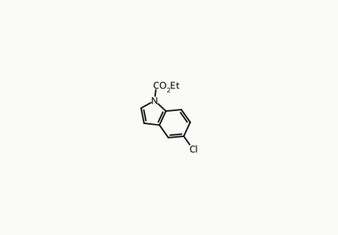 CCOC(=O)n1ccc2cc(Cl)ccc21